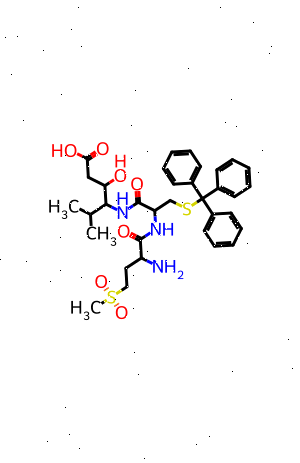 CC(C)C(NC(=O)C(CSC(c1ccccc1)(c1ccccc1)c1ccccc1)NC(=O)C(N)CCS(C)(=O)=O)C(O)CC(=O)O